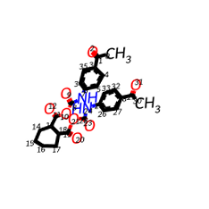 CC(=O)c1ccc(NC(=O)OC(=O)C2CCCCC2C(=O)OC(=O)Nc2ccc(C(C)=O)cc2)cc1